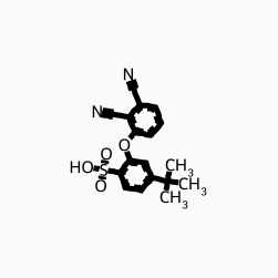 CC(C)(C)c1ccc(S(=O)(=O)O)c(Oc2cccc(C#N)c2C#N)c1